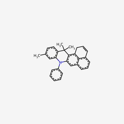 Cc1ccc2c(c1)N(c1ccccc1)c1cc3cccc4c3c(c1C2(C)C)CC=C4